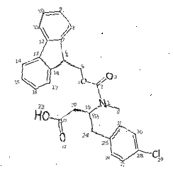 CN(C(=O)OCC1c2ccccc2-c2ccccc21)[C@H](CC(=O)O)Cc1ccc(Cl)cc1